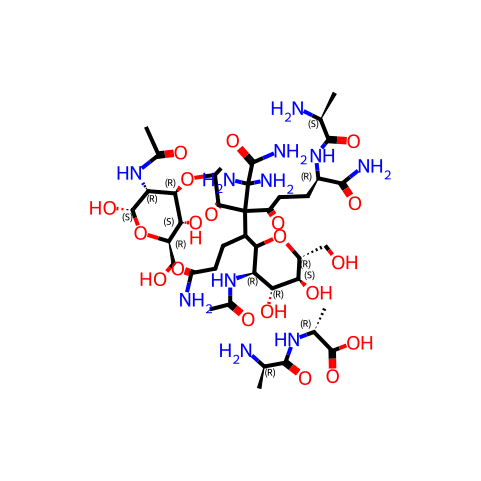 CC(=O)N[C@@H]1[C@@H](OC(C)C(=O)C(C(=O)CC[C@@H](NC(=O)[C@H](C)N)C(N)=O)(C(CCC(N)=O)C2O[C@H](CO)[C@@H](O)[C@H](O)[C@H]2NC(C)=O)C(N)(N)C(N)=O)[C@H](O)[C@@H](CO)O[C@@H]1O.C[C@@H](N)C(=O)N[C@H](C)C(=O)O